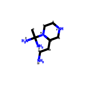 CC(N)(N)N1CCNCC1CCN